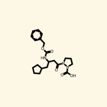 O=C(NC(CC(=O)N1CCCN1C(=O)O)CC1CCCC1)OCc1ccccc1